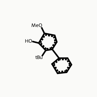 COc1ccc(-c2ccccc2)c(C(C)(C)C)c1O